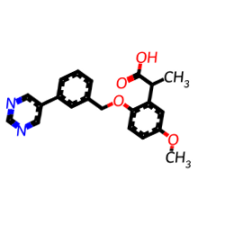 COc1ccc(OCc2cccc(-c3cncnc3)c2)c(C(C)C(=O)O)c1